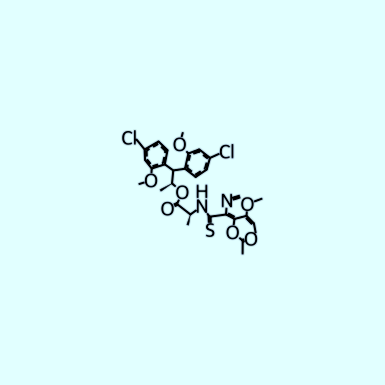 C=N/C(C(=S)N[C@@H](C)C(=O)O[C@@H](C)C(c1ccc(Cl)cc1OC)c1ccc(Cl)cc1OC)=C(OC(C)=O)\C(=C/C)OC